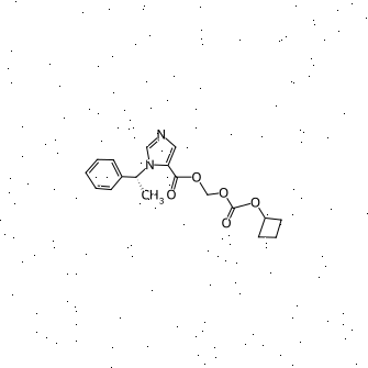 C[C@H](c1ccccc1)n1cncc1C(=O)OCOC(=O)OC1CCC1